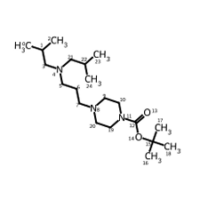 CC(C)CN(CCCN1CCN(C(=O)OC(C)(C)C)CC1)CC(C)C